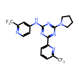 FC(F)(F)c1cc(Nc2nc(-c3cccc(C(F)(F)F)n3)nc(N3CCCC3)n2)ccn1